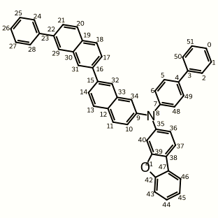 c1ccc(-c2ccc(N(c3ccc4ccc(-c5ccc6ccc(-c7ccccc7)cc6c5)cc4c3)c3ccc4c(c3)oc3ccccc34)cc2)cc1